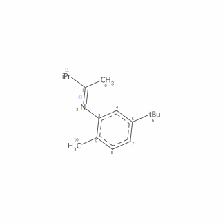 C/C(=N\c1cc(C(C)(C)C)ccc1C)C(C)C